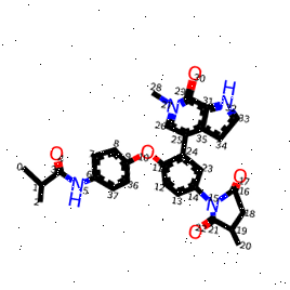 CC(C)C(=O)Nc1ccc(Oc2ccc(N3C(=O)CC(C)C3=O)cc2-c2cn(C)c(=O)c3[nH]ccc23)cc1